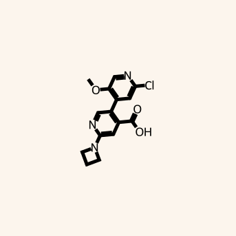 COc1cnc(Cl)cc1-c1cnc(N2CCC2)cc1C(=O)O